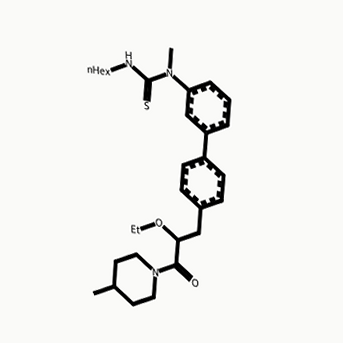 CCCCCCNC(=S)N(C)c1cccc(-c2ccc(CC(OCC)C(=O)N3CCC(C)CC3)cc2)c1